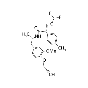 C#CCOc1ccc(CC(C)NC(=O)C(=COC(F)F)c2ccc(C)cc2)cc1OC